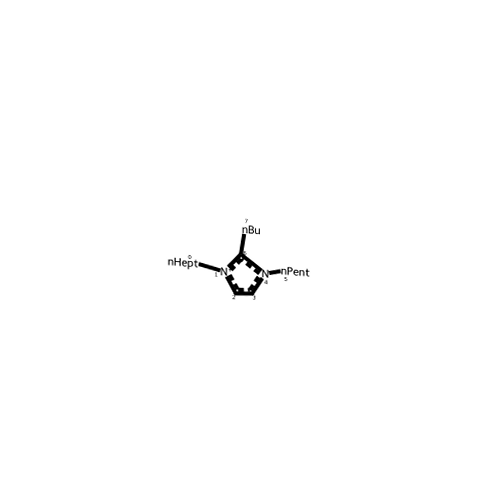 CCCCCCC[n+]1ccn(CCCCC)c1CCCC